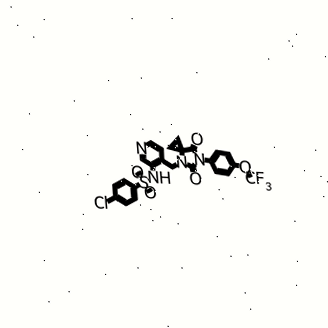 O=C1N(c2ccc(OC(F)(F)F)cc2)C(=O)C2(CC2)N1Cc1ccncc1NS(=O)(=O)c1ccc(Cl)cc1